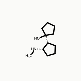 CN[C@H]1CCC[C@H]1C1(O)CCCC1